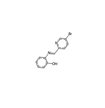 Oc1ccccc1/N=C/c1ccc(Br)cn1